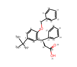 [2H]C([2H])([2H])c1ccc(OCc2ccccc2)c([C@H](CC(=O)O)c2ccccc2)c1